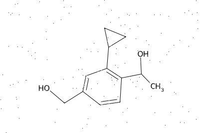 CC(O)c1ccc(CO)cc1C1CC1